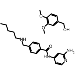 CCCCCNCc1ccc(C(=O)Nc2ccnc(N)c2)cc1.COc1ccc(CO)cc1OC